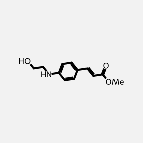 COC(=O)C=Cc1ccc(NCCO)cc1